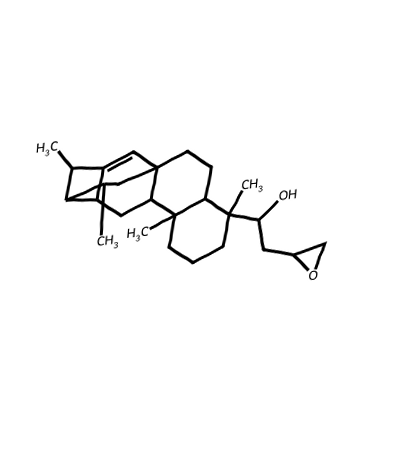 CC1CC23C=C4C(C)C1C4CC2C1(C)CCCC(C)(C(O)CC2CO2)C1CC3